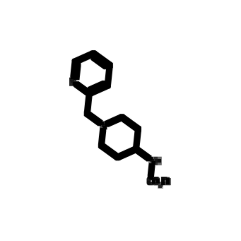 CCOC(=O)NC1CCN(Cc2ccccn2)CC1